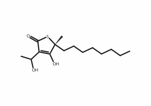 CCCCCCCC[C@@]1(C)SC(=O)C(C(C)O)=C1O